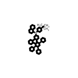 CC(C)(C)c1ccc(N(c2ccc3c(c2)c2ccccc2c2c(-c4ccccc4)c(-c4ccccc4)cc(-c4ccccc4)c32)c2cccc3ccccc23)cc1